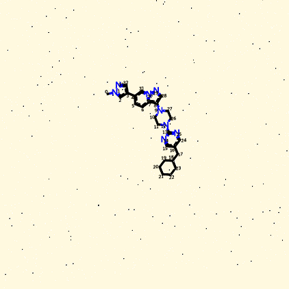 Cn1cc(-c2ccc3c(N4CCN(c5ncc(CC6CCCCC6)cn5)CC4)cnn3c2)cn1